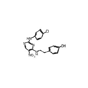 O=[N+]([O-])c1cnc(Nc2ccc(Cl)cc2)nc1NCCc1ccc(O)cc1